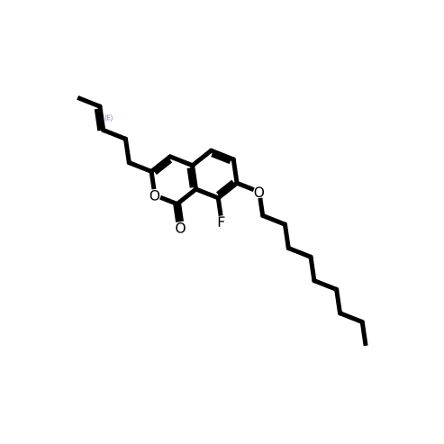 C/C=C/CCc1cc2ccc(OCCCCCCCCC)c(F)c2c(=O)o1